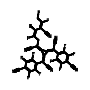 N#CC(=C1C(=C(\C#N)C/C(F)=C(F)\C(C#N)=C(\F)CF)/C1=C(\C#N)c1c(F)c(F)c(C#N)c(F)c1F)c1c(F)c(F)c(C#N)c(F)c1F